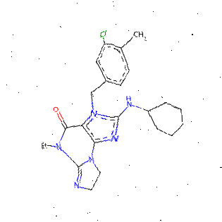 CCN1C(=O)c2c(nc(NC3CCCCC3)n2Cc2ccc(C)c(Cl)c2)N2CCN=C12